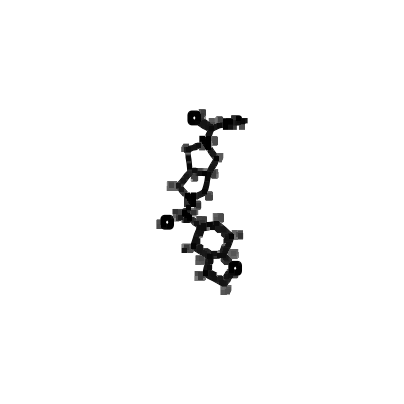 CCCC(=O)N1CC2=C(C1)CN([S+]([O-])c1ccc3occc3c1)C2